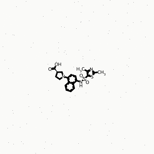 Cc1nc(C)c(S(=O)(=O)Nc2ccc(N3CC[C@@H](C(=O)O)C3)c3ccccc23)s1